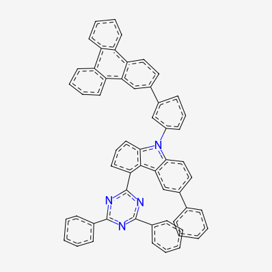 c1ccc(-c2ccc3c(c2)c2c(-c4nc(-c5ccccc5)nc(-c5ccccc5)n4)cccc2n3-c2cccc(-c3ccc4c5ccccc5c5ccccc5c4c3)c2)cc1